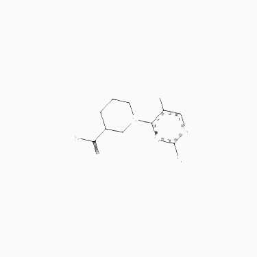 NC(=O)C1CCCN(c2nc(N)ncc2F)C1